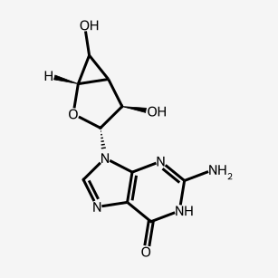 Nc1nc2c(ncn2[C@@H]2O[C@@H]3C(O)C3[C@H]2O)c(=O)[nH]1